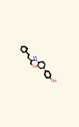 OCC(CCc1ccccc1)N[C@H]1CC[C@H](c2ccc(O)cc2)CC1